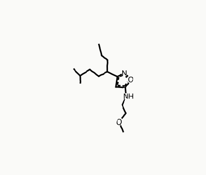 CCCC(CCC(C)C)c1cc(NCCOC)on1